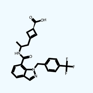 CC(CC1=C[C@H](C(=O)O)C1)NC(=O)c1cccc2cnn(Cc3ccc(C(F)(F)F)cc3)c12